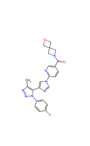 Cc1nnn(-c2ccc(F)cc2)c1-c1cn(-c2ccc(C(=O)N3CC4(COC4)C3)cn2)cn1